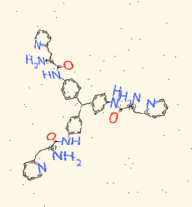 N[C@@H](Cc1ccccn1)C(=O)Nc1ccc(C(c2ccc(NC(=O)[C@@H](N)Cc3ccccn3)cc2)c2ccc(NC(=O)[C@@H](N)Cc3ccccn3)cc2)cc1